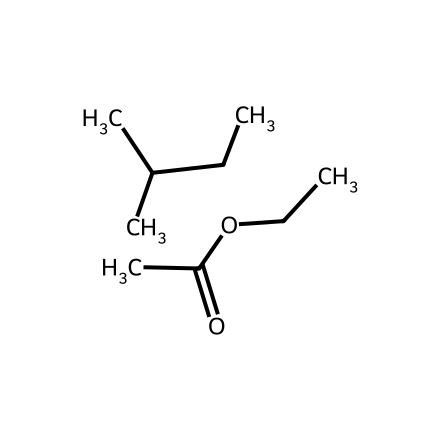 CCC(C)C.CCOC(C)=O